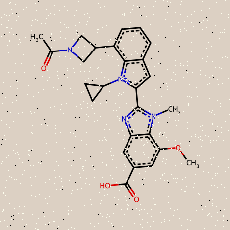 COc1cc(C(=O)O)cc2nc(-c3cc4cccc(C5CN(C(C)=O)C5)c4n3C3CC3)n(C)c12